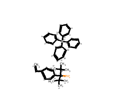 C=Cc1ccc(C([PH3+])(C(C)(C)C)C(C)(C)C)cc1.c1ccc([B-](c2ccccc2)(c2ccccc2)c2ccccc2)cc1